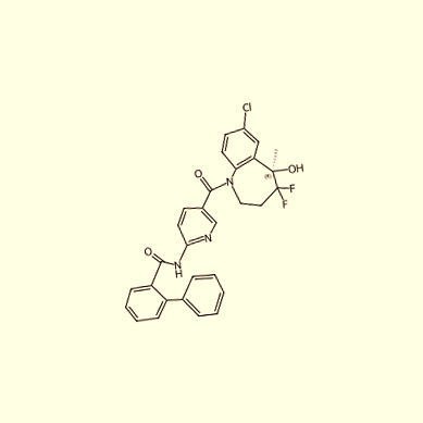 C[C@@]1(O)c2cc(Cl)ccc2N(C(=O)c2ccc(NC(=O)c3ccccc3-c3ccccc3)nc2)CCC1(F)F